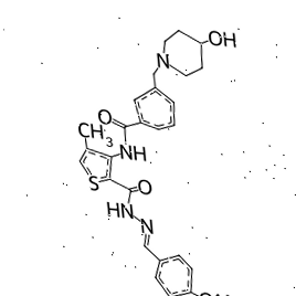 COc1ccc(/C=N/NC(=O)c2scc(C)c2NC(=O)c2cccc(CN3CCC(O)CC3)c2)cc1